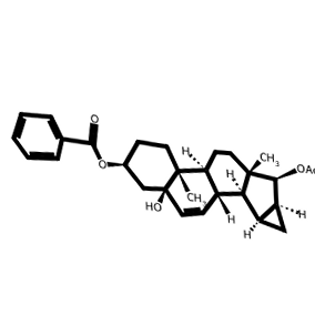 CC(=O)O[C@H]1[C@H]2C[C@H]2[C@H]2[C@@H]3C=C[C@]4(O)C[C@@H](OC(=O)c5ccccc5)CC[C@]4(C)[C@H]3CC[C@@]21C